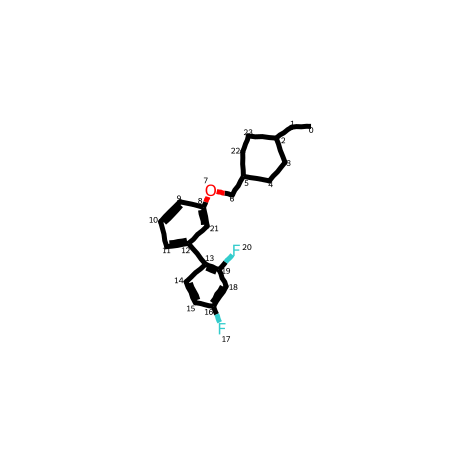 CCC1CCC(COc2[c]ccc(-c3ccc(F)cc3F)c2)CC1